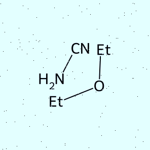 CCOCC.N#CN